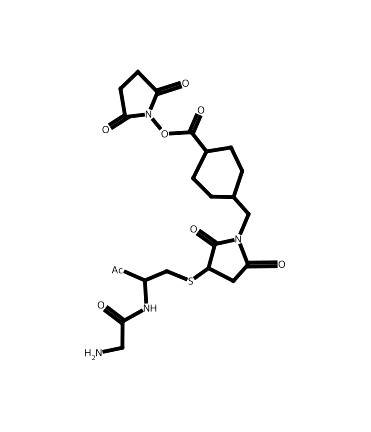 CC(=O)C(CSC1CC(=O)N(CC2CCC(C(=O)ON3C(=O)CCC3=O)CC2)C1=O)NC(=O)CN